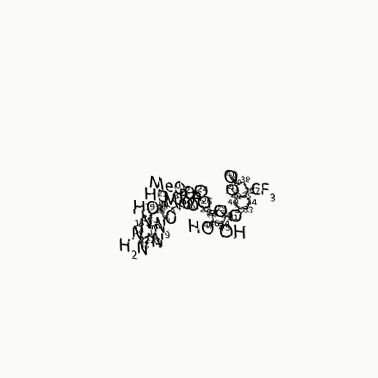 COP(=O)(OCC1OC(n2cnc3c(N)ncnc32)[C@H](O)[C@@H]1O)OP(=O)(OC)OC[C@H]1OC(Oc2ccc3c(C(F)(F)F)cc(=O)oc3c2)C(O)C1O